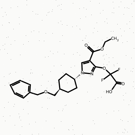 CCOC(=O)c1cn([C@H]2CC[C@H](COCc3ccccc3)CC2)nc1OC(F)(F)C(=O)O